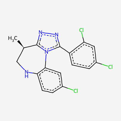 C[C@@H]1CNc2ccc(Cl)cc2-n2c(-c3ccc(Cl)cc3Cl)nnc21